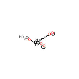 O=C(O)COCCC1=C[C@@H]2C[C@@H](OC3CCCCO3)[C@H](C=CCCCCCCOC3CCCCO3)[C@@H]2C1